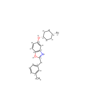 Cc1cccc(Cc2nc3cc(O[C@H]4CC[C@@H](C(C)=O)CC4)ccc3o2)c1